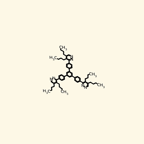 CCCCc1cnnc(-c2ccc(-c3cc(-c4ccc(-c5nncc(CCCC)c5CCCC)cc4)cc(-c4ccc(-c5nncc(CCCC)c5CCCC)cc4)c3)cc2)c1CCCC